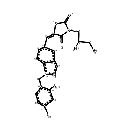 CC(C)C[C@@H](N)CN1C(=O)SC(=Cc2ccc3c(cnn3Cc3ccc(Cl)cc3C(F)(F)F)c2)C1=O